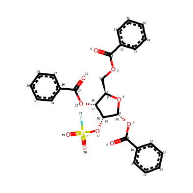 O=C(OC[C@H]1O[C@H](OC(=O)c2ccccc2)[C@H](OS(=O)(=O)F)[C@@H]1OC(=O)c1ccccc1)c1ccccc1